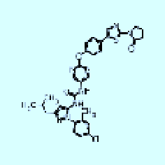 Cc1cc(Cl)ccc1-n1nc(CC(C)C)cc1NC(=O)Nc1cnc(Oc2ccc(-c3cnc(N4CCCC4=O)s3)cc2)nc1